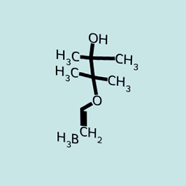 B.C=COC(C)(C)C(C)(C)O